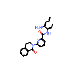 C=C/C=C(N)\C(=C/C)NC(=O)c1cccc(N2CCc3ccccc3C2=O)n1